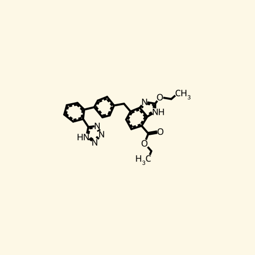 CCOC(=O)c1ccc(Cc2ccc(-c3ccccc3-c3nnn[nH]3)cc2)c2nc(OCC)[nH]c12